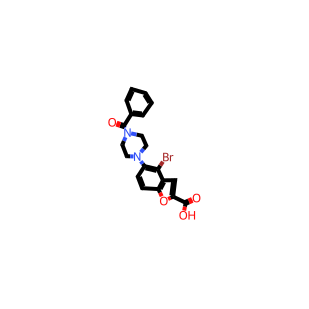 O=C(O)c1cc2c(Br)c(N3CCN(C(=O)c4ccccc4)CC3)ccc2o1